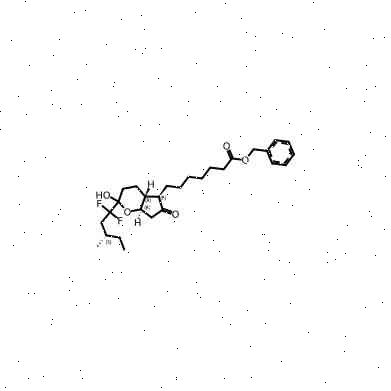 CC[C@H](C)CC(F)(F)C1(O)CC[C@H]2[C@@H](CC(=O)[C@@H]2CCCCCCC(=O)OCc2ccccc2)O1